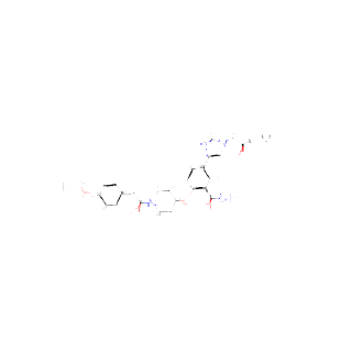 COC(=O)Cn1cnc(-c2ccc(OC3CCN(C(=O)Cc4ccc(OC(F)(F)F)cc4)CC3)c(C(N)=O)c2)c1